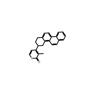 O=c1occc(C2CCc3ccc4c(ccc5ccccc54)c3C2)c1I